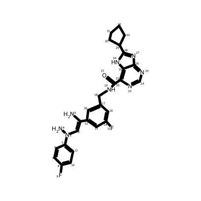 N/C(=C\N(N)c1ccc(F)cc1)c1cc(F)cc(CNC(=O)c2ncnc3nc(C4CCCC4)[nH]c23)c1